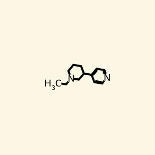 CCN1CCCC(c2ccncc2)C1